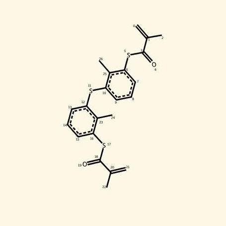 C=C(C)C(=O)Sc1cccc(Sc2cccc(SC(=O)C(=C)C)c2C)c1C